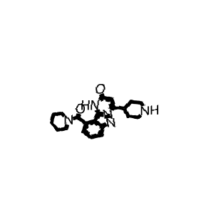 O=C(c1cccc2nn3c(C4CCNCC4)cc(=O)[nH]c3c12)N1CCCCC1